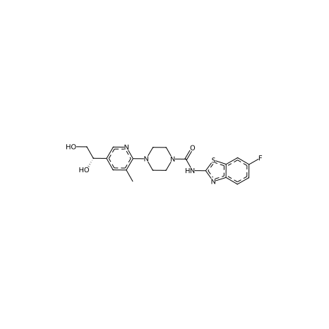 Cc1cc([C@H](O)CO)cnc1N1CCN(C(=O)Nc2nc3ccc(F)cc3s2)CC1